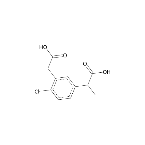 CC(C(=O)O)c1ccc(Cl)c(CC(=O)O)c1